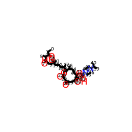 CCC(=O)C(C)C1OC1CC(C)(O)/C=C/C=C(\C)C1OC(=O)CC(=O)CCC(C)(O)C(OC(=O)N2CCN(C(C)C)CC2)/C=C/C1C